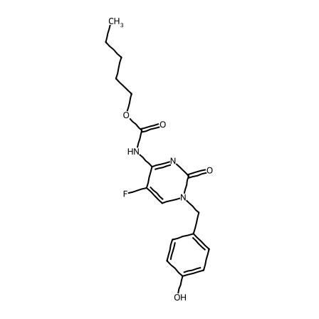 CCCCCOC(=O)Nc1nc(=O)n(Cc2ccc(O)cc2)cc1F